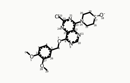 COc1ccc(COc2ncnc3c(N4CC[S+]([O-])CC4)nc(Cl)nc23)cc1OC